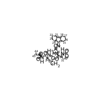 C=C[C@@H]1C[C@]1(NC(=O)[C@@H]1C[C@@H](ON=C2c3ccccc3-c3ccccc32)CN1C(=O)[C@@H]1CCOC(=O)N1)C(=O)NS(=O)(=O)C1CC1